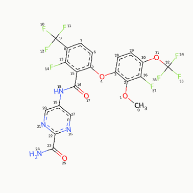 COc1c(Oc2ccc(C(F)(F)F)c(F)c2C(=O)Nc2cnc(C(N)=O)nc2)ccc(OC(F)(F)F)c1F